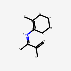 C=C(C)/C(C)=N\C1=C(C)CCCC1